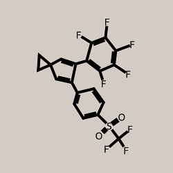 O=S(=O)(c1ccc(C2=CC3(C=C2c2c(F)c(F)c(F)c(F)c2F)CC3)cc1)C(F)(F)F